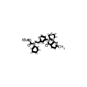 Cc1ccc(C(=O)Nc2ccnc(CCN(C(=O)OC(C)(C)C)c3ccccc3)c2)c(N2CCSCC2)n1